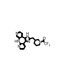 O=C(N1CCCC(Cc2nc3c([nH]2)-c2ccncc2Nc2ncccc2-3)C1)C(F)(F)F